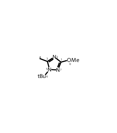 COc1nc(C)n(C(C)(C)C)n1